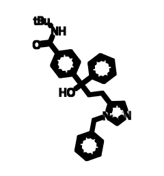 CC(C)(C)NC(=O)c1ccc(C(O)(CCc2cncn2Cc2ccccc2)c2ccccc2)cc1